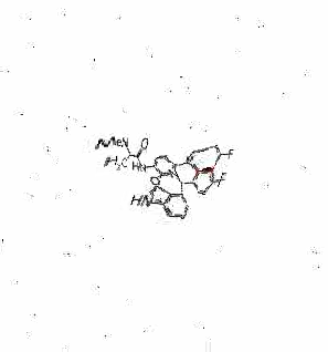 CNC(C)C(=O)Nc1ccc(-c2ccc(F)cc2)n(C(c2ccc(F)cc2)c2cccc3[nH]ccc23)c1=O